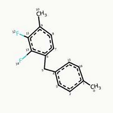 Cc1ccc(Cc2ccc(C)c(F)c2F)cc1